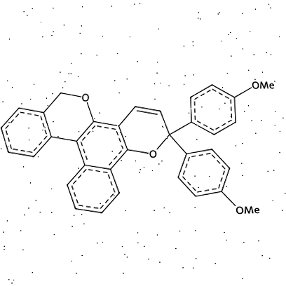 COc1ccc(C2(c3ccc(OC)cc3)C=Cc3c4c(c5ccccc5c3O2)-c2ccccc2CO4)cc1